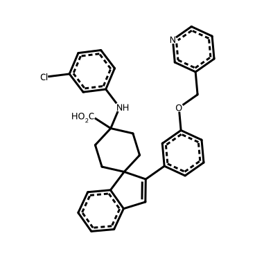 O=C(O)C1(Nc2cccc(Cl)c2)CCC2(CC1)C(c1cccc(OCc3cccnc3)c1)=Cc1ccccc12